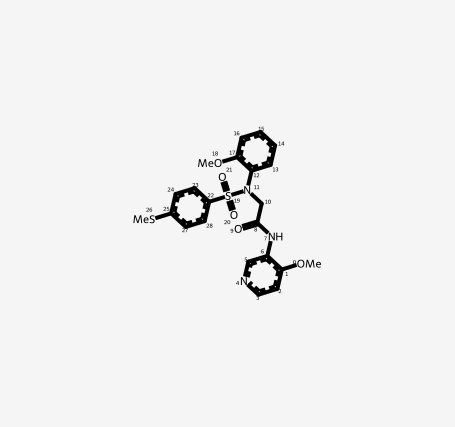 COc1ccncc1NC(=O)CN(c1ccccc1OC)S(=O)(=O)c1ccc(SC)cc1